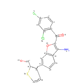 Nc1c(C(=O)c2ccc(Cl)cc2Cl)oc2cc(C3C=CSC3C=O)ccc12